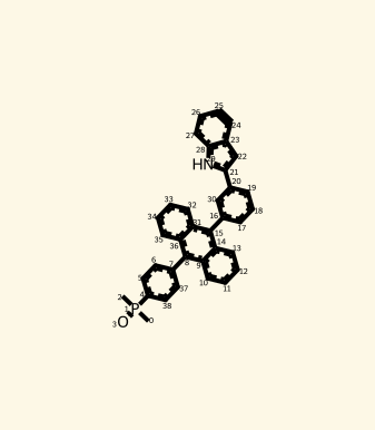 CP(C)(=O)c1ccc(-c2c3ccccc3c(-c3cccc(-c4cc5c#cccc5[nH]4)c3)c3ccccc23)cc1